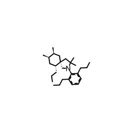 CCCc1cccc(CCC)c1N1C[C@]2(C[C@H](C)[C@H](C)C[C@H]2CCC)CC1(C)C